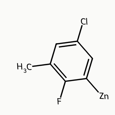 Cc1cc(Cl)c[c]([Zn])c1F